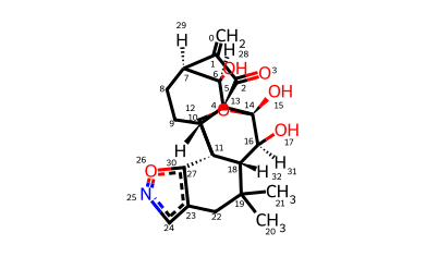 C=C1C(=O)[C@]23[C@H](O)[C@H]1CC[C@H]2[C@@]12CO[C@]3(O)[C@@H](O)[C@@H]1C(C)(C)Cc1cnoc12